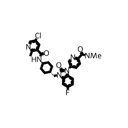 CNC(=O)c1ccc(-n2c(=O)n(C[C@H]3CC[C@H](NC(=O)c4cc(Cl)cnc4C)CC3)c3cc(F)ccc32)cn1